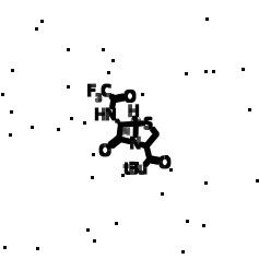 CC(C)(C)C(=O)C1CS[C@H]2[C@@H](NC(=O)C(F)(F)F)C(=O)N12